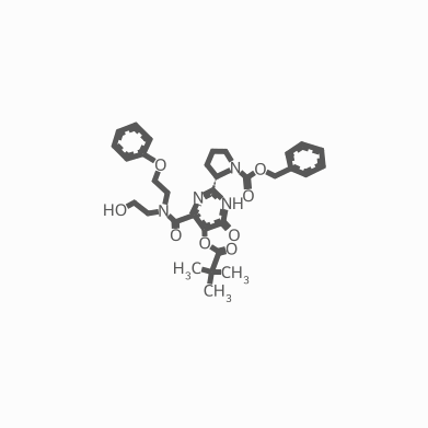 CC(C)(C)C(=O)Oc1c(C(=O)N(CCO)CCOc2ccccc2)nc([C@@H]2CCCN2C(=O)OCc2ccccc2)[nH]c1=O